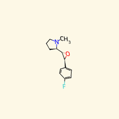 CN1CCC[C@@H]1[C@@H]1O[C@H]1c1ccc(F)cc1